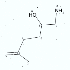 C=C(C)CCC(O)CN